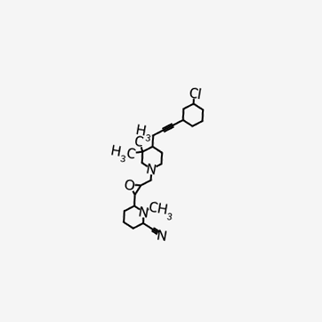 CN1C(C#N)CCCC1C1OC1CN1CCC(CC#CC2CCCC(Cl)C2)C(C)(C)C1